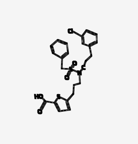 O=C(O)c1ccc(CCCN(CCCc2cccc(Cl)c2)S(=O)(=O)Cc2ccccc2)s1